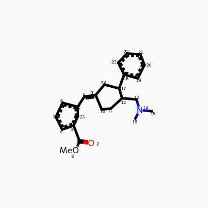 COC(=O)c1cccc(C=C2CCC(CN(C)C)C(c3ccccc3)C2)c1